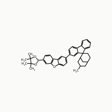 CC1CC2CCC3(c4ccccc4-c4ccc(-c5ccc6oc7cc(B8OC(C)(C)C(C)(C)O8)ccc7c6c5)cc43)C(C1)C2